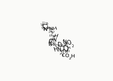 O=C(O)CC(NC(=O)CNC(=O)CCCCNc1ccccn1)c1cccc([N+](=O)[O-])c1.[Na]